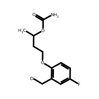 CC(CCOc1ccc(F)cc1CCl)OC(N)=O